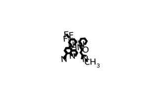 CN1CC(CC(=O)NN2CCCCC2[C@H]2C[C@@H](C(F)(F)F)CN(c3ccc(C#N)c4ncccc34)C2)C1